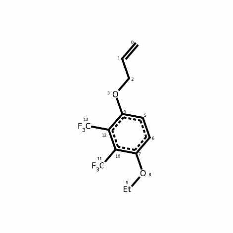 C=CCOc1ccc(OCC)c(C(F)(F)F)c1C(F)(F)F